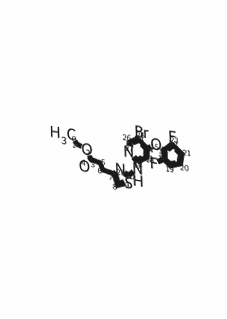 CCOC(=O)CCc1csc(Nc2cc(Oc3c(F)cccc3F)c(Br)cn2)n1